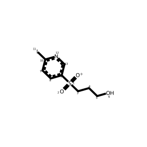 O=S(=O)(CCCO)c1ccc(I)nc1